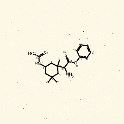 CC1(C)CC(NC(O)=S)CC(C)(C(N)C(=S)Oc2ccccc2)C1